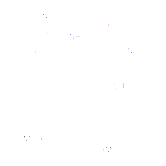 COc1cc(OC)cc(-c2sc(NC(N)=O)c(C(N)=O)c2C)c1